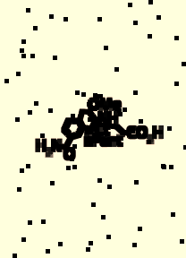 CCCCC[C@@H](CCN[C@@H]1[C@@H](OC)Cc2ccc(C(N)=O)cc2C1(CC)CC)C(=O)O